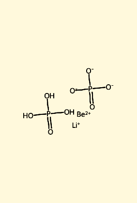 O=P(O)(O)O.O=P([O-])([O-])[O-].[Be+2].[Li+]